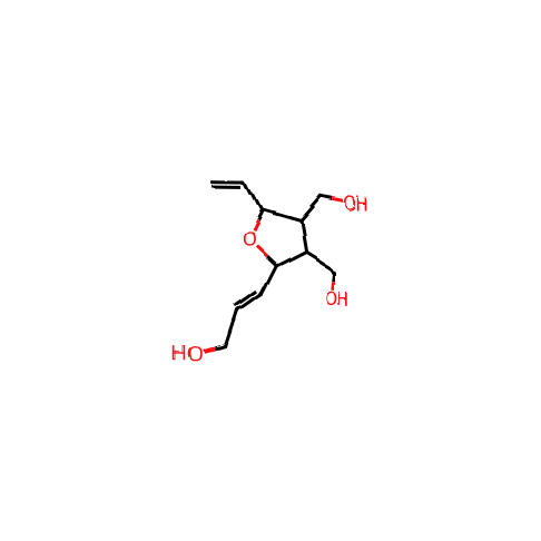 C=CC1OC(C=CCO)C(CO)C1CO